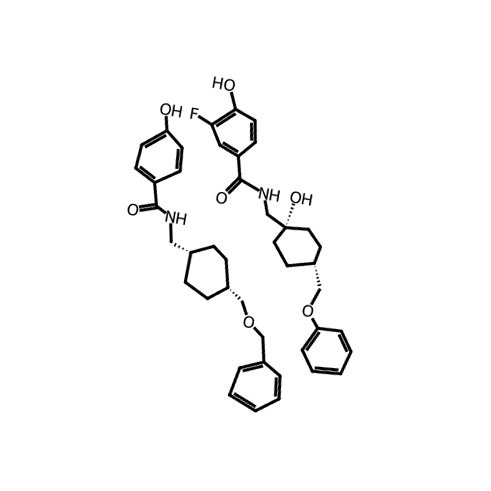 O=C(NC[C@H]1CC[C@@H](COCc2ccccc2)CC1)c1ccc(O)cc1.O=C(NC[C@]1(O)CC[C@@H](COc2ccccc2)CC1)c1ccc(O)c(F)c1